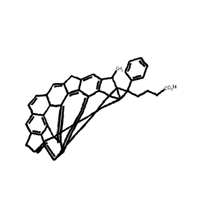 CC1c2cc3c4c5c6c7c8c9c(cc%10c8c8c%11c7c4c2C%112C4(C=C8C%10)C(CCCC(=O)O)(c7ccccc7)C124)C=CC(C=C5C3)C96